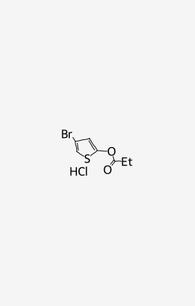 CCC(=O)Oc1cc(Br)cs1.Cl